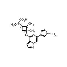 C[C@@H]1[C@H](N(C)C(=O)O)C[C@]1(C)Oc1nc(-c2cnn(C)c2)cn2nccc12